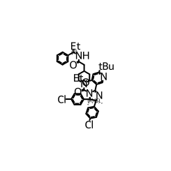 CCOc1cc(C(C)(C)C)ncc1C1=N[C@@](C)(c2ccc(Cl)cc2)[C@@](C)(c2ccc(Cl)cc2)N1C(=O)N1CCC(CC(=O)N[C@H](CC)c2ccccc2)CC1